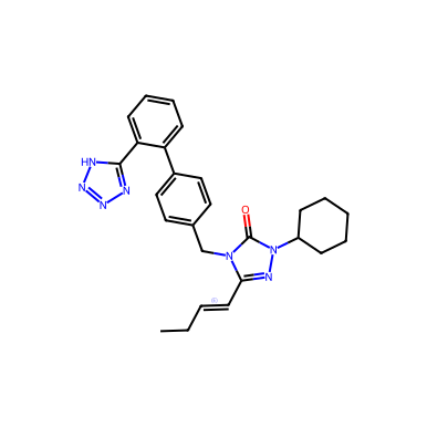 CC/C=C/c1nn(C2CCCCC2)c(=O)n1Cc1ccc(-c2ccccc2-c2nnn[nH]2)cc1